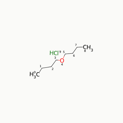 CCCCOCCCC.Cl